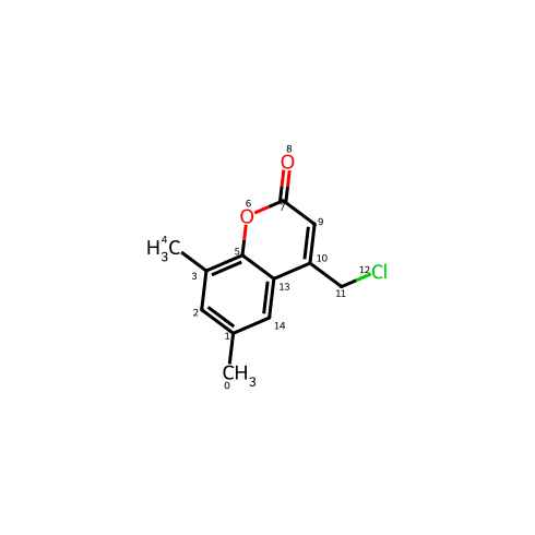 Cc1cc(C)c2oc(=O)cc(CCl)c2c1